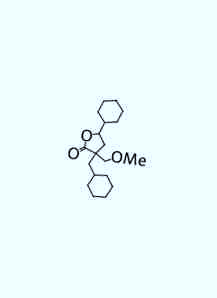 COCC1(CC2CCCCC2)CC(C2CCCCC2)OC1=O